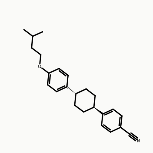 CC(C)CCOc1ccc([C@H]2CC[C@H](c3ccc(C#N)cc3)CC2)cc1